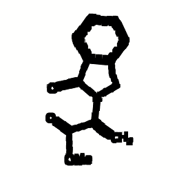 C=C(C(=O)OC)N1Cc2ccccc2C1=O